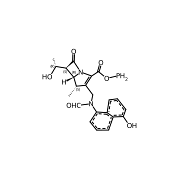 C[C@@H](O)[C@H]1C(=O)N2C(C(=O)OP)=C(CN(C=O)c3cccc4c(O)cccc34)[C@H](C)[C@H]12